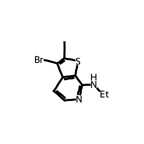 CCNc1nccc2c(Br)c(C)sc12